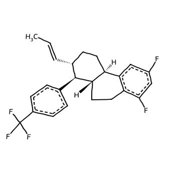 C/C=C/[C@@H]1CC[C@H]2c3cc(F)cc(F)c3CC[C@@H]2[C@H]1c1ccc(C(F)(F)F)cc1